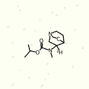 [2H]C1(N(C)C(=O)OC(C)C)CN2CCC1CC2